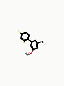 COC1=CC(c2ccc(F)cc2F)CC(C)=C1